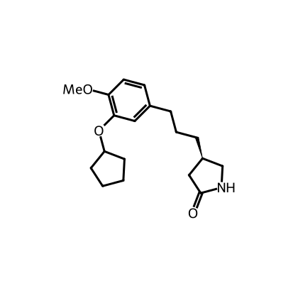 COc1ccc(CCC[C@H]2CNC(=O)C2)cc1OC1CCCC1